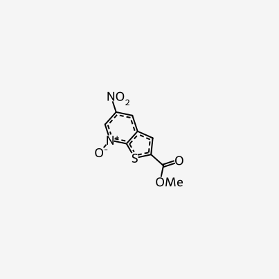 COC(=O)c1cc2cc([N+](=O)[O-])c[n+]([O-])c2s1